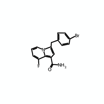 NC(=O)c1cc(Cc2ccc(Br)cc2)n2cccc(F)c12